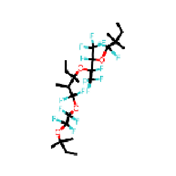 CCC(C)(C)OC(F)(F)C(F)(F)OC(F)(F)C(C)C(C)(CC)OC(F)(C(F)(F)F)C(F)(OC(F)(F)C(C)(C)CC)C(F)(F)F